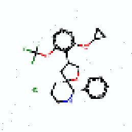 Cl.FC(F)(F)Oc1cccc(OC2CC2)c1[C@H]1CO[C@]2(CCCN[C@H]2c2ccccc2)C1